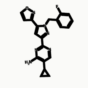 Nc1nc(-c2cc(-c3ccon3)n(Cc3ccccc3F)n2)ncc1C1CC1